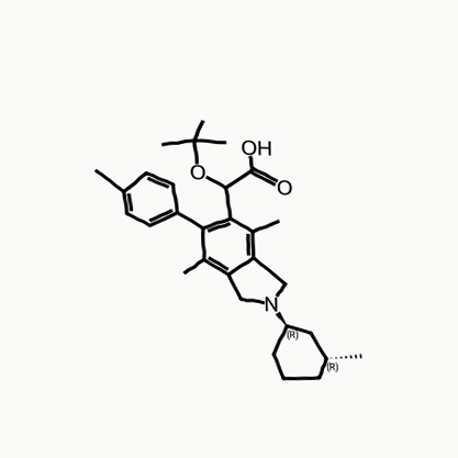 Cc1ccc(-c2c(C)c3c(c(C)c2C(OC(C)(C)C)C(=O)O)CN([C@@H]2CCC[C@@H](C)C2)C3)cc1